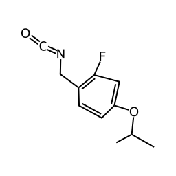 CC(C)Oc1ccc(CN=C=O)c(F)c1